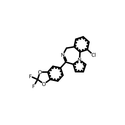 FC1(F)Oc2ccc(C3=NCc4cccc(Cl)c4-n4cccc43)cc2O1